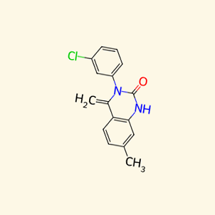 C=C1c2ccc(C)cc2NC(=O)N1c1cccc(Cl)c1